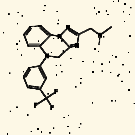 CN(C)Cc1nc2n(n1)-c1ccccc1N(c1cccc(C(F)(F)F)c1)C2